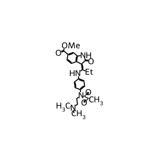 CCC(Nc1ccc(N(CCN(C)C)S(C)(=O)=O)cc1)=C1C(=O)Nc2cc(C(=O)OC)ccc21